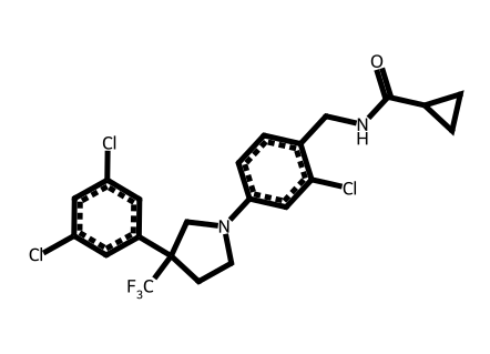 O=C(NCc1ccc(N2CCC(c3cc(Cl)cc(Cl)c3)(C(F)(F)F)C2)cc1Cl)C1CC1